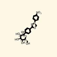 O=[N+]([O-])c1ccc(N2COC(c3ccc([C@@]4(O)O[C@H](CO)[C@@H](O)[C@@H](O)[C@H]4O)cc3)=N2)cc1